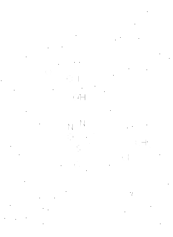 CCC1=C(Cl)CC(=S(=O)=O)C(N=Nc2c(O)c(C(=O)O)cc3ccccc23)=C1